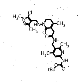 CC1=C(CC(=O)NCc2c(C)cc(NC(=O)OC(C)(C)C)nc2C)C(=O)N(NCc2c(C)nn(C)c2Cl)CC1